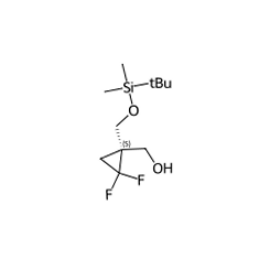 CC(C)(C)[Si](C)(C)OC[C@@]1(CO)CC1(F)F